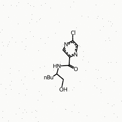 CCCCC(CO)NC(=O)c1cnc(Cl)cn1